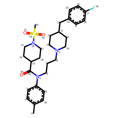 Cc1ccc(N(CCCN2CCC(Cc3ccc(F)cc3)CC2)C(=O)C2CCN(S(C)(=O)=O)CC2)cc1